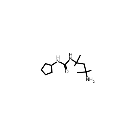 CC(C)(N)CC(C)(C)NC(=O)NC1CCCC1